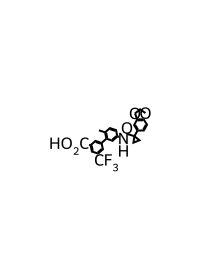 Cc1ccc(NC(=O)C2(c3ccc4c(c3)OCO4)CC2)cc1-c1cc(C(=O)O)cc(C(F)(F)F)c1